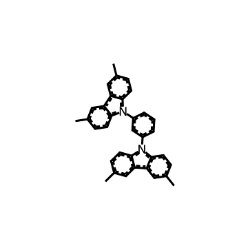 Cc1ccc2c(c1)c1cc(C)ccc1n2-c1cccc(-n2c3ccc(C)cc3c3cc(C)ccc32)c1